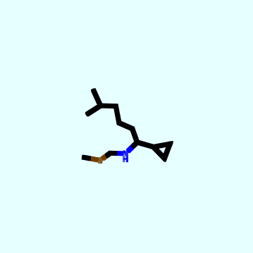 CSCNC(CCCC(C)C)C1CC1